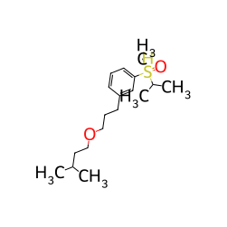 CC(C)CCOCCCc1cccc([SH](C)(=O)C(C)C)c1